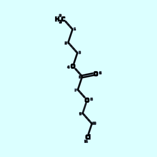 CCCCOC(=O)COCCCl